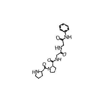 O=C(CNC(=O)C1CCCN1C(=O)C1CCCN1)NCC(=O)Nc1ccccc1